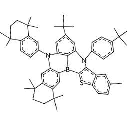 Cc1ccc2sc3c(c2c1)N(c1ccc(C(C)(C)C)cc1)c1cc(C(C)(C)C)cc2c1B3c1cc3c(cc1N2c1ccc2c(c1)C(C)(C)CCC2(C)C)C(C)(C)CCC3(C)C